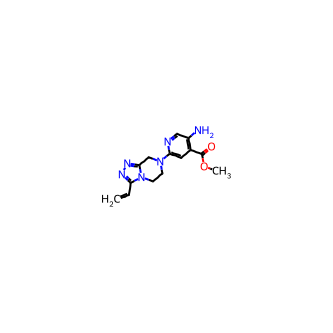 C=Cc1nnc2n1CCN(c1cc(C(=O)OC)c(N)cn1)C2